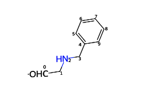 O=[C]CNCc1ccccc1